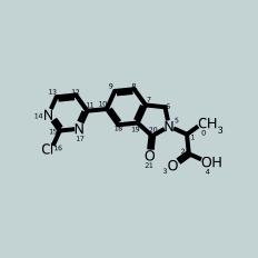 CC(C(=O)O)N1Cc2ccc(-c3ccnc(Cl)n3)cc2C1=O